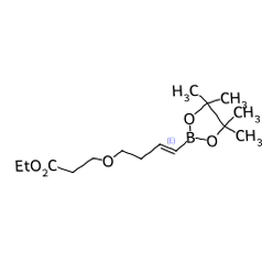 CCOC(=O)CCOCC/C=C/B1OC(C)(C)C(C)(C)O1